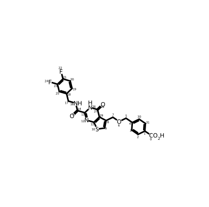 O=C(O)c1ccc(COCc2csc3nc(C(=O)NCc4ccc(F)c(F)c4)[nH]c(=O)c23)cc1